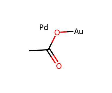 CC(=O)[O][Au].[Pd]